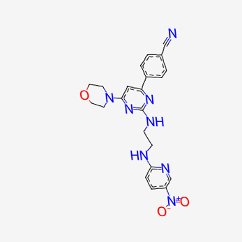 N#Cc1ccc(-c2cc(N3CCOCC3)nc(NCCNc3ccc([N+](=O)[O-])cn3)n2)cc1